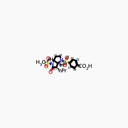 CCC[C@H]1C(=O)N(S(C)(=O)=O)[C@H]2CCN(S(=O)(=O)c3ccc(C(=O)O)cc3)[C@@H]12